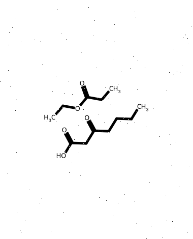 CCCCC(=O)CC(=O)O.CCOC(=O)CC